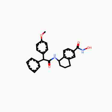 COc1ccc(C(C(=O)NC2CCCc3cc(C(=O)NO)ccc32)c2ccccc2)cc1